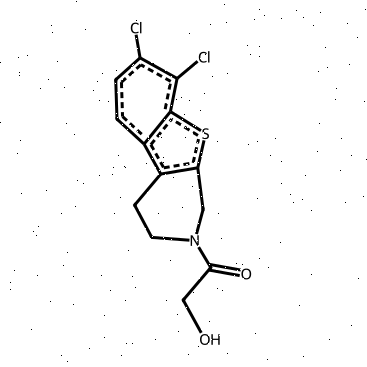 O=C(CO)N1CCc2c(sc3c(Cl)c(Cl)ccc23)C1